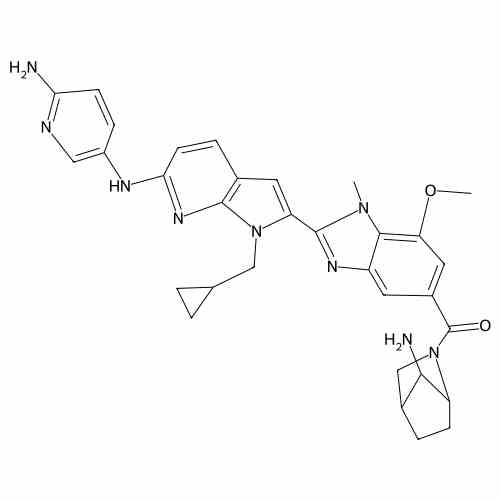 COc1cc(C(=O)N2CC3CCC2C3N)cc2nc(-c3cc4ccc(Nc5ccc(N)nc5)nc4n3CC3CC3)n(C)c12